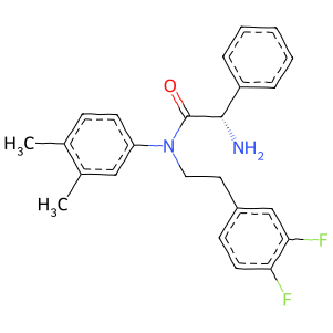 Cc1ccc(N(CCc2ccc(F)c(F)c2)C(=O)[C@@H](N)c2ccccc2)cc1C